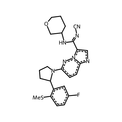 CSc1ccc(F)cc1C1CCCN1c1ccc2ncc(C(=NC#N)NC3CCCOC3)n2n1